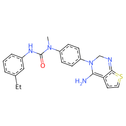 CCc1cccc(NC(=O)N(C)c2ccc(N3CN=c4sccc4=C3N)cc2)c1